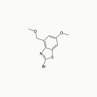 COCc1cc(OC)cc2sc(Br)nc12